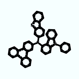 c1ccc(-n2c3ccccc3c3c(N(c4ccc5c(c4)sc4ccccc45)c4ccc5c6ccccc6c6ccccc6c5c4)cccc32)cc1